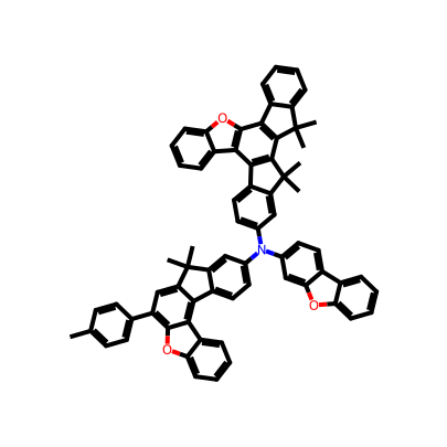 Cc1ccc(-c2cc3c(c4c2oc2ccccc24)-c2ccc(N(c4ccc5c(c4)C(C)(C)c4c6c(c7oc8ccccc8c7c4-5)-c4ccccc4C6(C)C)c4ccc5c(c4)oc4ccccc45)cc2C3(C)C)cc1